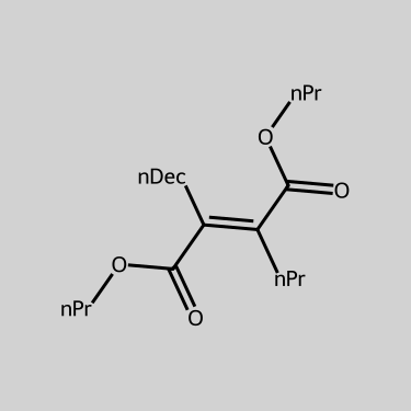 CCCCCCCCCCC(C(=O)OCCC)=C(CCC)C(=O)OCCC